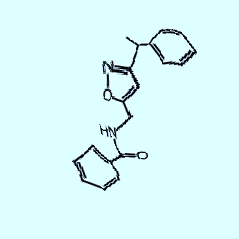 CC(c1ccccc1)c1cc(CNC(=O)c2ccccc2)on1